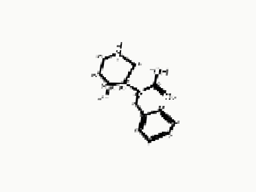 O=C(O)N(Cc1ccccc1)[C@@H]1CNCC[C@@H]1F